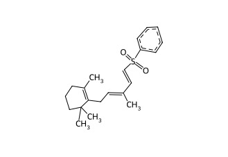 CC(C=CS(=O)(=O)c1ccccc1)=CCC1=C(C)CCCC1(C)C